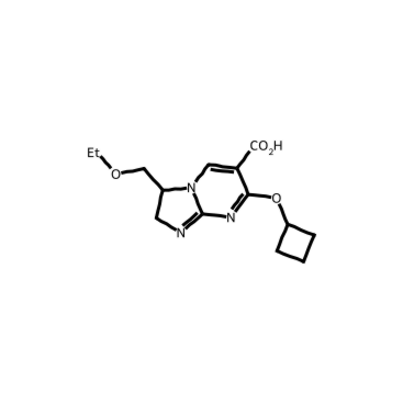 CCOCC1CN=C2N=C(OC3CCC3)C(C(=O)O)=CN21